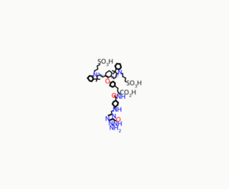 CC1(C)C(/C=C/C2=C(Oc3ccc(CC[C@H](NC(=O)c4ccc(NCc5cnc6nc(N)[nH]c(=O)c6n5)cc4)C(=O)O)cc3)C(=C/C=C3/N(CCCCS(=O)(=O)O)c4ccccc4C3(C)C)/CCC2)=[N+](CCCCS(=O)(=O)O)c2ccccc21